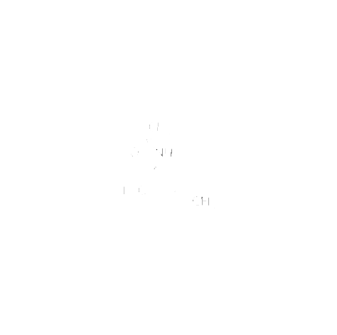 CCC(=CCNC(C)=O)CC